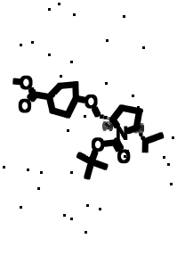 COC(=O)C1CCC(OC[C@@H]2CC[C@H](C(C)C)N2C(=O)OC(C)(C)C)CC1